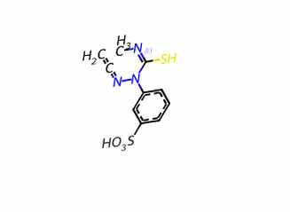 C=C=NN(/C(S)=N\C)c1cccc(S(=O)(=O)O)c1